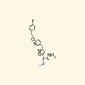 C=C(N)/C(=C\C=C/C)c1cc(Cc2ccc(OCCc3ccc(F)cc3)nc2)no1